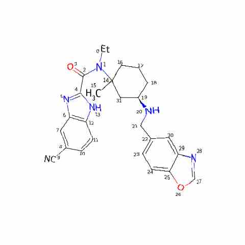 CCN(C(=O)c1nc2cc(C#N)ccc2[nH]1)C1(C)CCC[C@@H](NCc2ccc3ocnc3c2)C1